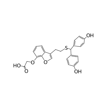 O=C(O)COc1cccc2c(CCSC(c3ccc(O)cc3)c3ccc(O)cc3)coc12